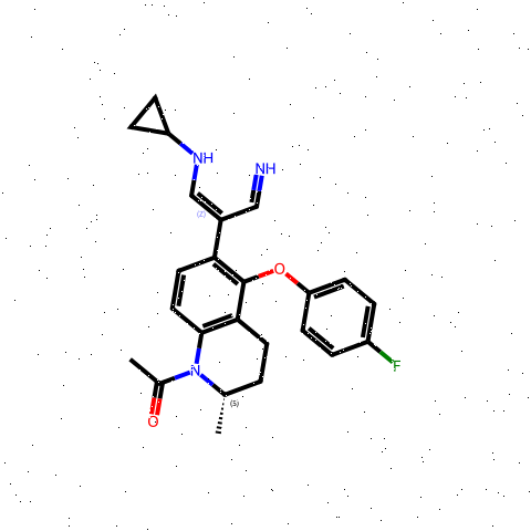 CC(=O)N1c2ccc(/C(C=N)=C/NC3CC3)c(Oc3ccc(F)cc3)c2CC[C@@H]1C